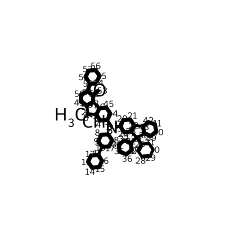 CC1(C)c2cc(N(c3ccc(-c4ccccc4)cc3)c3ccc4c(c3)C(C3=CC=CCC3)(c3ccccc3)c3ccccc3-4)ccc2-c2c1ccc1c2oc2ccccc21